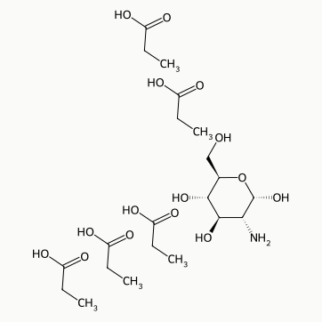 CCC(=O)O.CCC(=O)O.CCC(=O)O.CCC(=O)O.CCC(=O)O.N[C@@H]1[C@@H](O)[C@H](O)[C@@H](CO)O[C@@H]1O